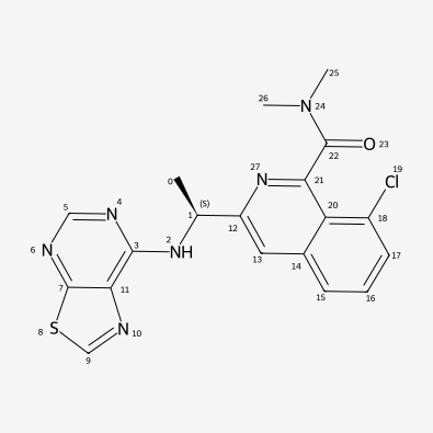 C[C@H](Nc1ncnc2scnc12)c1cc2cccc(Cl)c2c(C(=O)N(C)C)n1